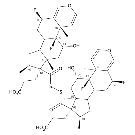 C[C@@H]1CC2C3C[C@H](F)C4=COC=C[C@]4(C)[C@@]3(F)[C@@H](O)C[C@]2(C)[C@]1(CCC(=O)O)C(=O)SSC(=O)[C@@]1(CCC(=O)O)[C@@H](C)CC2C3C[C@@H](F)C4=COC=C[C@]4(C)[C@]3(F)[C@H](O)C[C@@]21C